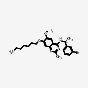 COc1cc2c(N[C@H](C)c3cccc(Br)c3)nc(C)nc2cc1OCCCCCCN